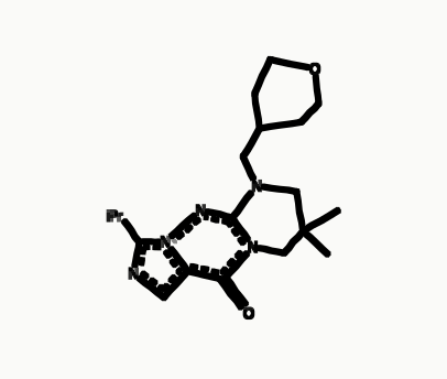 CC(C)c1ncc2c(=O)n3c(nn12)N(CC1CCOCC1)CC(C)(C)C3